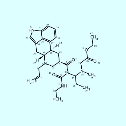 C=CCN1C[C@H](C(=O)N(C(=O)NCC)C(CC)N(C)CC(=O)OCC)C[C@@H]2c3cccc4[nH]cc(c34)C[C@H]21